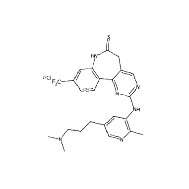 Cc1ncc(CCCN(C)C)cc1Nc1ncc2c(n1)-c1ccc(C(F)(F)F)cc1NC(=S)C2.Cl